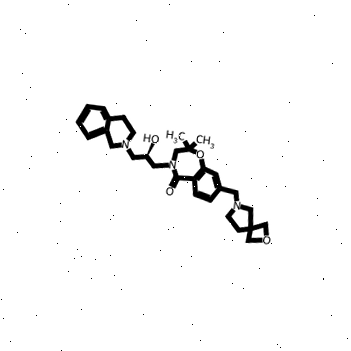 CC1(C)CN(C[C@H](O)CN2CCc3ccccc3C2)C(=O)c2ccc(CN3CCC4(COC4)C3)cc2O1